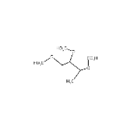 CC(OC(=O)O)C(COC(=O)O)OC(=O)O